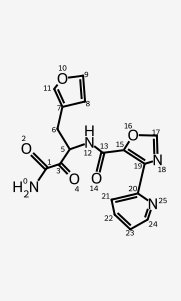 NC(=O)C(=O)C(Cc1ccoc1)NC(=O)c1ocnc1-c1ccccn1